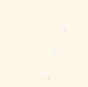 CCCCCCCCCC(=O)OCC.O=C(O)/C=C/C(=O)ON1CCC(c2noc3cc(F)ccc23)CC1